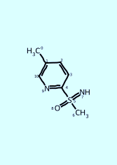 Cc1ccc(S(C)(=N)=O)nc1